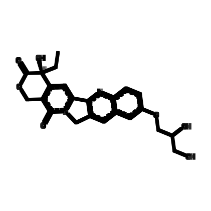 CC[C@@]1(O)C(=O)OCc2c1cc1n(c2=O)Cc2cc3cc(OCC(O)CO)ccc3nc2-1